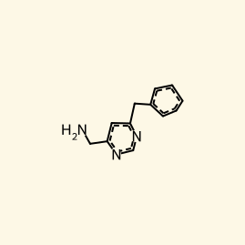 NCc1cc(Cc2ccccc2)ncn1